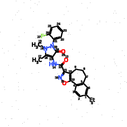 CCc1ccc2c(c1)CCCc1c(C(=O)Nc3c(C)n(C)n(-c4ccccc4F)c3=O)noc1-2